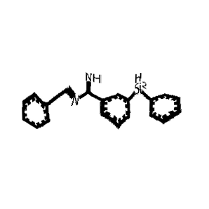 N=C(/N=C/c1ccccc1)c1cccc([SiH2]c2ccccc2)c1